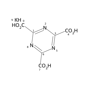 O=C(O)c1nc(C(=O)O)nc(C(=O)O)n1.[KH]